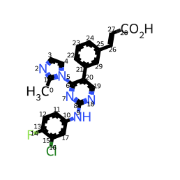 Cc1nccn1-c1nc(Nc2ccc(F)c(Cl)c2)ncc1-c1cccc(C=CC(=O)O)c1